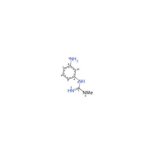 CNC(=N)Nc1cccc(N)c1